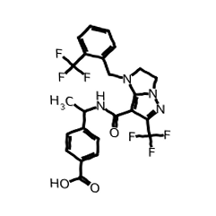 CC(NC(=O)c1c(C(F)(F)F)nn2c1N(Cc1ccccc1C(F)(F)F)CC2)c1ccc(C(=O)O)cc1